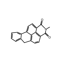 CN1C(=O)c2ccc3c4c(ccc(c24)C1=O)-c1ccccc1C3